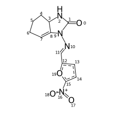 O=C1NC2CCCC=C2N1N=Cc1ccc([N+](=O)[O-])o1